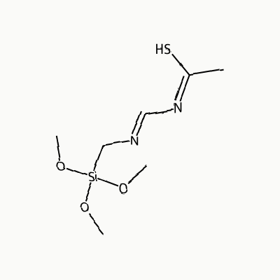 CO[Si](CN=CN=C(C)S)(OC)OC